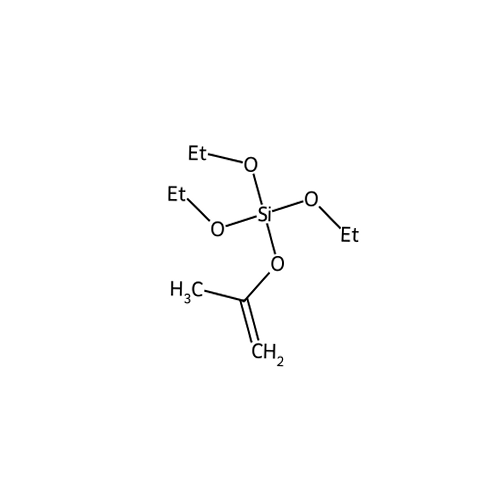 C=C(C)O[Si](OCC)(OCC)OCC